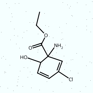 CCOC(=O)C1(N)C=C(Cl)C=CC1O